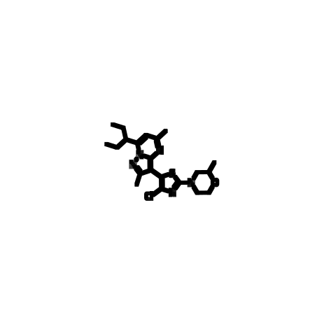 CCC(CC)c1cc(C)nc2c(-c3sc(N4CCOC(C)C4)nc3Cl)c(C)nn12